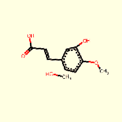 CO.COc1ccc(C=CC(=O)O)cc1O